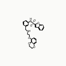 O=S(=O)(Nc1cccc(CNCCOc2cccc3c2OCCO3)c1)c1cc2ccccc2o1